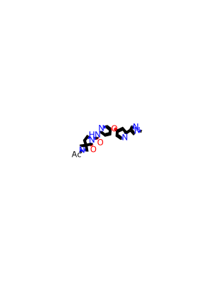 CC(=O)N1CC2(CCN(C(=O)Nc3ccc(Oc4ccnc(-c5cnn(C)c5)c4)cn3)C2=O)C1